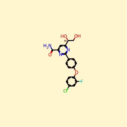 NC(=O)c1cc([C@@H](O)CO)nc(-c2ccc(Oc3ccc(Cl)cc3F)cc2)n1